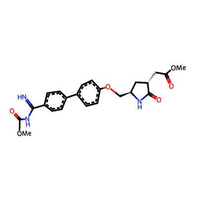 COC(=O)C[C@H]1C[C@H](COc2ccc(-c3ccc(C(=N)NC(=O)OC)cc3)cc2)NC1=O